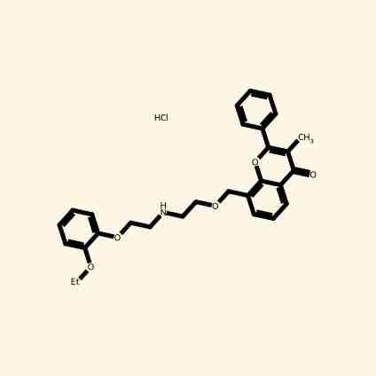 CCOc1ccccc1OCCNCCOCc1cccc2c(=O)c(C)c(-c3ccccc3)oc12.Cl